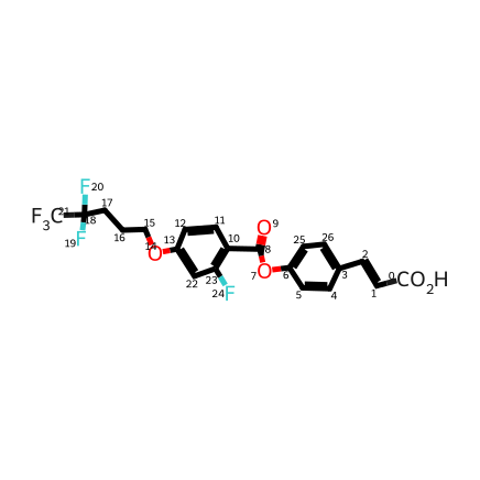 O=C(O)C=Cc1ccc(OC(=O)c2ccc(OCCCC(F)(F)C(F)(F)F)cc2F)cc1